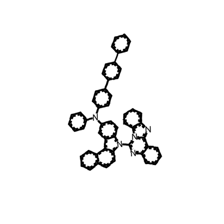 c1ccc(-c2ccc(-c3ccc(N(c4ccccc4)c4ccc5c(c4)c4c6ccccc6ccc4n5-c4nc5ccccc5c5nc6ccccc6n45)cc3)cc2)cc1